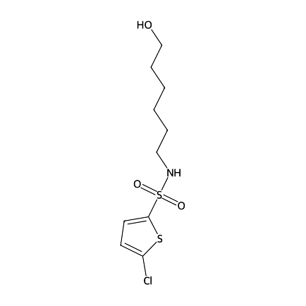 O=S(=O)(NCCCCCCO)c1ccc(Cl)s1